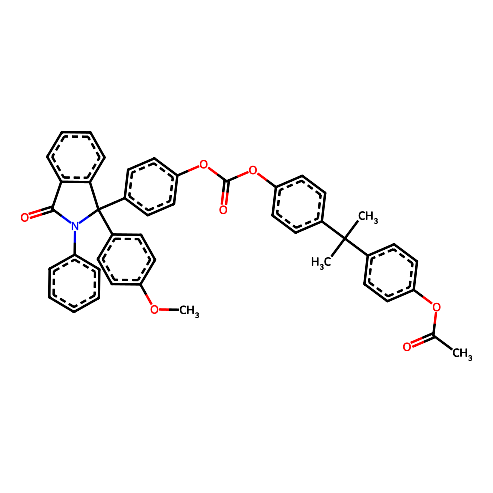 COc1ccc(C2(c3ccc(OC(=O)Oc4ccc(C(C)(C)c5ccc(OC(C)=O)cc5)cc4)cc3)c3ccccc3C(=O)N2c2ccccc2)cc1